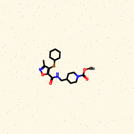 Cc1noc(C(=O)NCC2CCN(C(=O)OC(C)(C)C)CC2)c1SC1CCCCC1